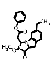 CCc1ccc2cc3n(c2c1)C(CC(=O)Oc1ccccc1)N(OC)C3=O